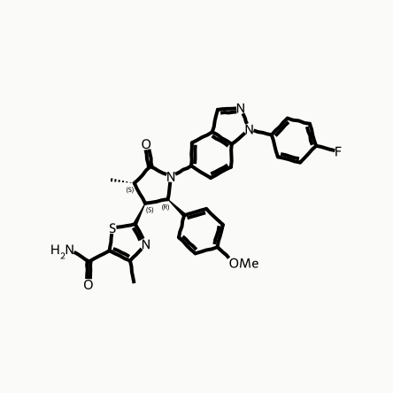 COc1ccc([C@H]2[C@@H](c3nc(C)c(C(N)=O)s3)[C@H](C)C(=O)N2c2ccc3c(cnn3-c3ccc(F)cc3)c2)cc1